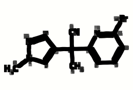 Cn1cc(C(C)(C#N)c2cccc(Br)n2)cn1